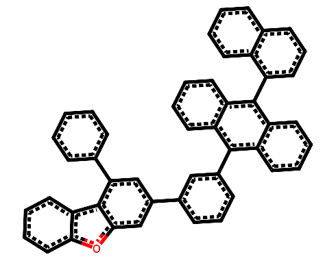 c1ccc(-c2cc(-c3cccc(-c4c5ccccc5c(-c5cccc6ccccc56)c5ccccc45)c3)cc3oc4ccccc4c23)cc1